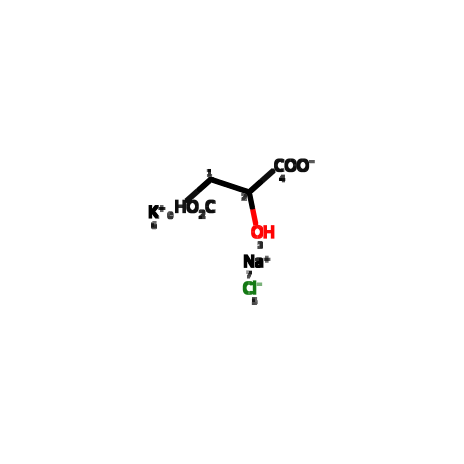 O=C(O)CC(O)C(=O)[O-].[Cl-].[K+].[Na+]